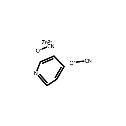 N#C[O-].N#C[O-].[Zn+2].c1ccncc1